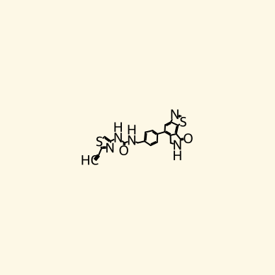 C#Cc1nc(NC(=O)NCc2ccc(-c3cc4ncsc4c4c3CNC4=O)cc2)cs1